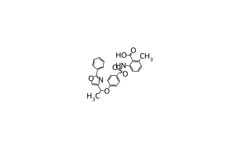 Cc1cccc(NS(=O)(=O)c2ccc(O[C@@H](C)c3coc(-c4ccccc4)n3)cc2)c1C(=O)O